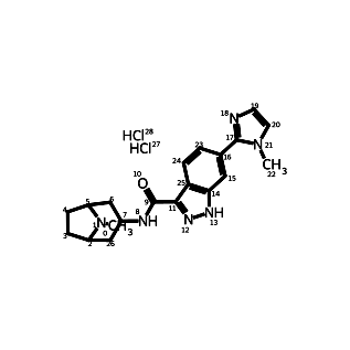 CN1C2CCC1CC(NC(=O)c1n[nH]c3cc(-c4nccn4C)ccc13)C2.Cl.Cl